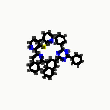 c1ccc(-c2nc(-c3ccccc3)nc(-c3cc(-c4nc(-c5nccc6c5sc5ncccc56)cc5ccccc45)c4ccccc4c3)n2)cc1